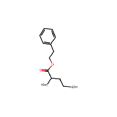 CCCCCCCCCCCCC(CCCCCCCCCC)C(=O)OCCc1ccccc1